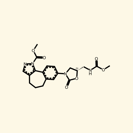 COC(=O)NC[C@H]1CN(c2ccc3c(c2)CCCc2cnn(C(=O)OC)c2-3)C(=O)O1